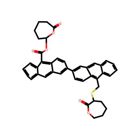 O=C1CCCCC(OC(=O)c2c3ccccc3cc3cc(-c4ccc5c(CSC6CCCCOC6=O)c6ccccc6cc5c4)ccc23)O1